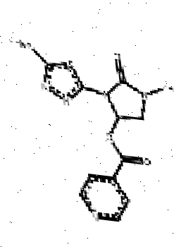 CCCCCCc1nnc(N2C(=O)N(CCCC)CC2OC(=O)c2ccncc2)s1